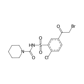 O=C(CBr)c1ccc(Cl)c(S(=O)(=O)NC(=O)N2CCCCC2)c1